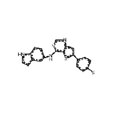 Fc1ccc(-c2cc3ncnc(Nc4ccc5[nH]ccc5c4)c3s2)cc1